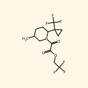 CC1CCC(C2(C(F)(F)F)CC2)N(C(=O)C(=O)OCC(F)(F)F)C1